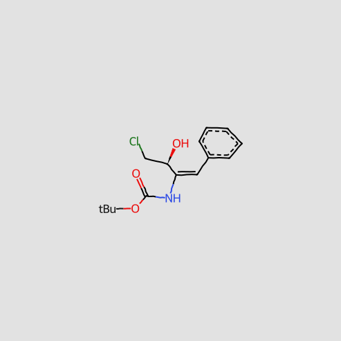 CC(C)(C)OC(=O)N/C(=C/c1ccccc1)[C@H](O)CCl